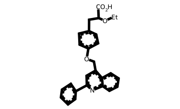 CCOC(Cc1ccc(OCc2cc(-c3ccccc3)nc3ccccc23)cc1)C(=O)O